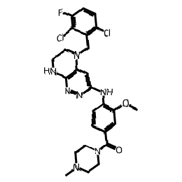 COc1cc(C(=O)N2CCN(C)CC2)ccc1Nc1cc2c(nn1)NCCN2Cc1c(Cl)ccc(F)c1Cl